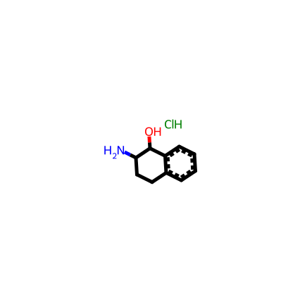 Cl.NC1CCc2ccccc2C1O